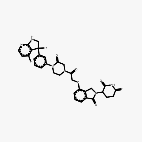 CCC1(c2cccc(N3CCN(C(=O)COc4cccc5c4CN(C4CCC(=O)NC4=O)C5=O)CC3=O)c2)CNc2nccc(Cl)c21